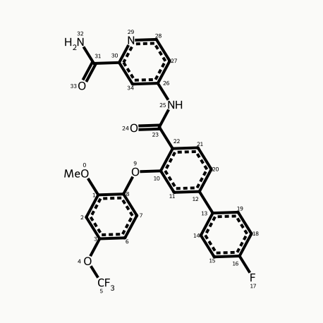 COc1cc(OC(F)(F)F)ccc1Oc1cc(-c2ccc(F)cc2)ccc1C(=O)Nc1ccnc(C(N)=O)c1